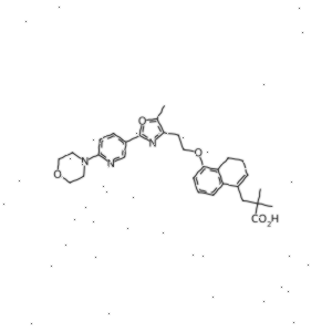 Cc1oc(-c2ccc(N3CCOCC3)nc2)nc1CCOc1cccc2c1CCC=C2CC(C)(C)C(=O)O